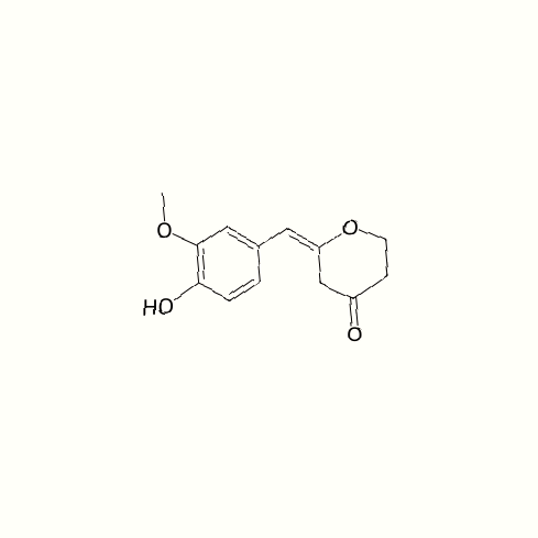 COc1cc(C=C2CC(=O)CCO2)ccc1O